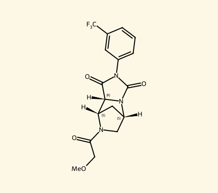 COCC(=O)N1C[C@@H]2C[C@H]1[C@@H]1C(=O)N(c3cccc(C(F)(F)F)c3)C(=O)N21